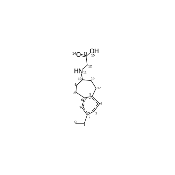 CCc1ccc2c(c1)CCC(NCC(=O)O)CC2